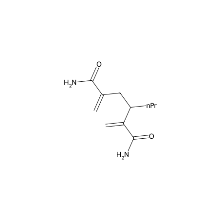 C=C(CC(CCC)C(=C)C(N)=O)C(N)=O